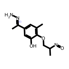 C/C(=N\N)c1cc(C)c(OCC(C)N=O)c(O)c1